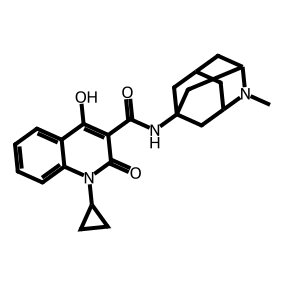 CN1C2CC3CC1CC(NC(=O)c1c(O)c4ccccc4n(C4CC4)c1=O)(C3)C2